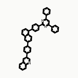 c1ccc(-c2cc(-c3ccccc3)nc(-c3ccc(-c4cccc5cc(-c6ccc(-c7cnc8ccccc8c7)cc6)ccc45)cc3)n2)cc1